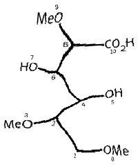 COCC(OC)C(O)C(O)C(OC)C(=O)O